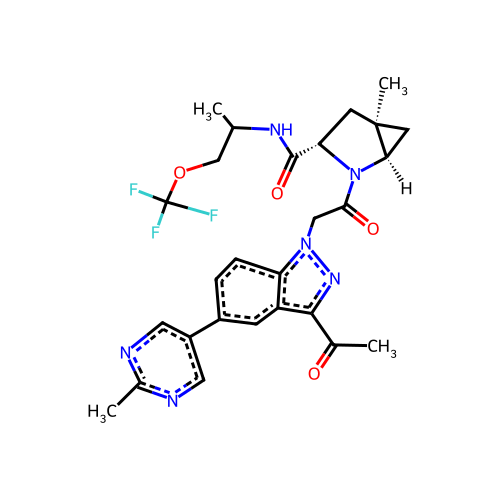 CC(=O)c1nn(CC(=O)N2[C@H](C(=O)NC(C)COC(F)(F)F)C[C@@]3(C)C[C@@H]23)c2ccc(-c3cnc(C)nc3)cc12